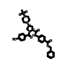 CS(=O)(=O)N1CCN([C@H]2C[C@@H](C(=O)Nc3ccc(C(=O)OCc4ccccc4)cc3)N(C(=O)c3ccc(C#N)cc3)C2)CC1